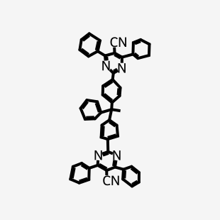 CC(c1ccccc1)(c1ccc(-c2nc(C3=CCCC=C3)c(C#N)c(-c3ccccc3)n2)cc1)c1ccc(-c2nc(-c3ccccc3)c(C#N)c(-c3ccccc3)n2)cc1